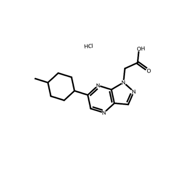 CC1CCC(c2cnc3cnn(CC(=O)O)c3n2)CC1.Cl